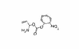 C=CC(N)OC(=O)Oc1ccccc1[N+](=O)[O-]